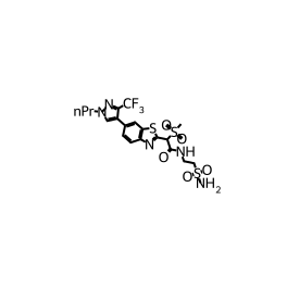 CCCn1cc(-c2ccc3nc(C(C(=O)NCCS(N)(=O)=O)S(C)(=O)=O)sc3c2)c(C(F)(F)F)n1